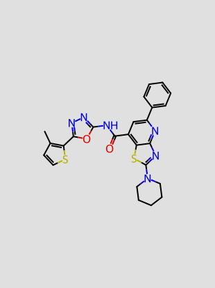 Cc1ccsc1-c1nnc(NC(=O)c2cc(-c3ccccc3)nc3nc(N4CCCCC4)sc23)o1